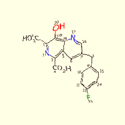 O=C(O)c1nc(C(=O)O)c2cc(Cc3ccc(F)cc3)cnc2c1O